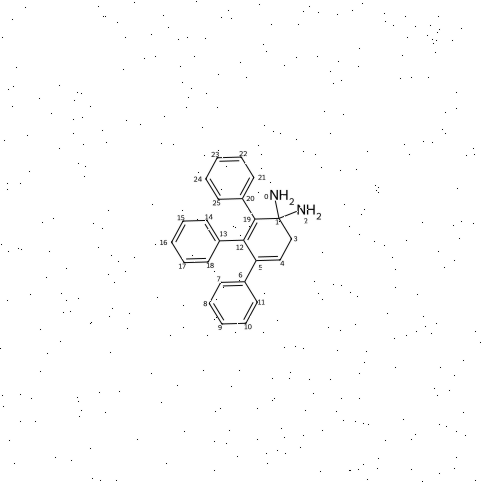 NC1(N)CC=C(c2ccccc2)C(c2ccccc2)=C1c1ccccc1